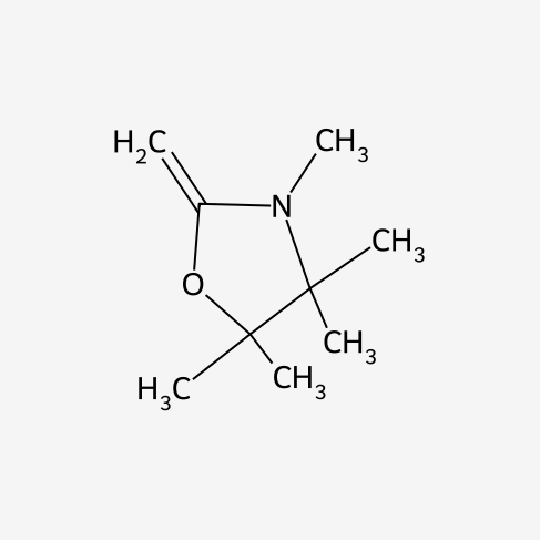 C=C1OC(C)(C)C(C)(C)N1C